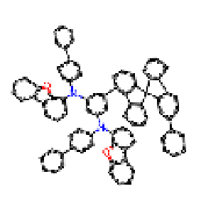 c1ccc(-c2ccc(N(c3cc(-c4cccc5c4-c4ccccc4C54c5ccccc5-c5ccc(-c6ccccc6)cc54)cc(N(c4ccc(-c5ccccc5)cc4)c4cccc5c4oc4ccccc45)c3)c3cccc4c3oc3ccccc34)cc2)cc1